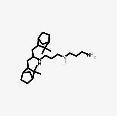 CC1(C)C2CCC(C2)C1CC(CC1C2CCC(C2)C1(C)C)NCCCNCCCN